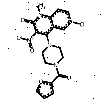 Cn1c(=O)c([N+](=O)[O-])c(N2CCN(C(=O)c3ccco3)CC2)c2cc(Cl)ccc21